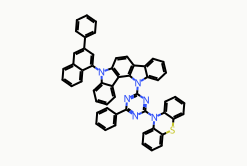 c1ccc(-c2cc(-n3c4ccccc4c4c3ccc3c5ccccc5n(-c5nc(-c6ccccc6)nc(N6c7ccccc7Sc7ccccc76)n5)c34)c3ccccc3c2)cc1